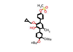 CCCCOc1ccc(-c2c(C)cc(-c3ccc(OS(C)(=O)=O)cc3)c(OCC3CC3)c2O)cc1OC